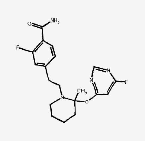 CC1(Oc2cc(F)ncn2)CCCCN1CCc1ccc(C(N)=O)c(F)c1